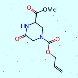 C=CCOC(=O)N1CC(=O)N[C@@H](C(=O)OC)C1